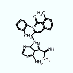 Cc1ccccc1-n1c(CN2N=C(C(=N)N)C3C(N)=NC=NC32)cc2cccc(C)c2c1=O